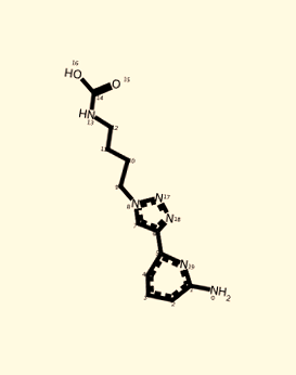 Nc1cccc(-c2cn(CCCCNC(=O)O)nn2)n1